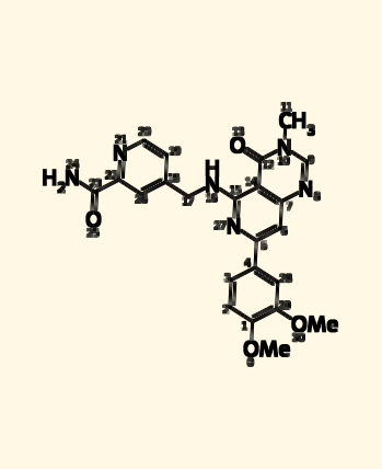 COc1ccc(-c2cc3ncn(C)c(=O)c3c(NCc3ccnc(C(N)=O)c3)n2)cc1OC